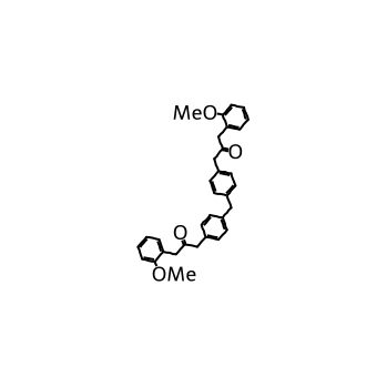 COc1ccccc1CC(=O)Cc1ccc(Cc2ccc(CC(=O)Cc3ccccc3OC)cc2)cc1